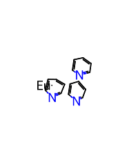 [Eu].c1ccncc1.c1ccncc1.c1ccncc1